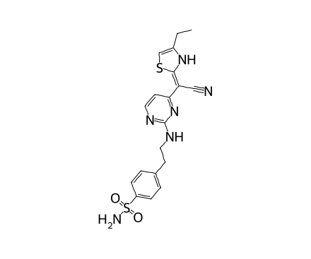 CCC1=CS/C(=C(/C#N)c2ccnc(NCCc3ccc(S(N)(=O)=O)cc3)n2)N1